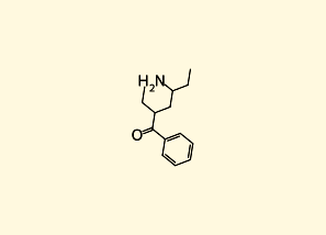 CCC(N)CC(CC)C(=O)c1ccccc1